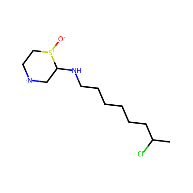 CC(Cl)CCCCCCNC1C[N]CC[S+]1[O-]